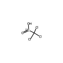 O=[13C](O)C(Cl)(Cl)Cl